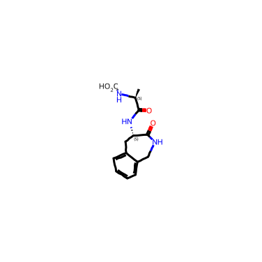 C[C@H](NC(=O)O)C(=O)N[C@H]1Cc2ccccc2CNC1=O